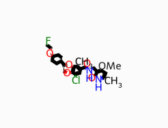 COc1cc(C)[nH]c(=O)c1CNC(=O)c1cc(Cl)c2c(c1C)O[C@@H]([C@H]1CC[C@@H](OCCF)CC1)CO2